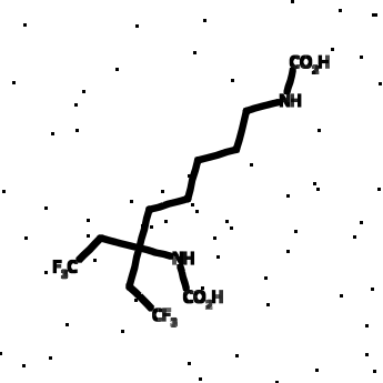 O=C(O)NCCCCCC(CC(F)(F)F)(CC(F)(F)F)NC(=O)O